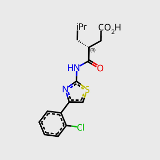 CC(C)C[C@H](CC(=O)O)C(=O)Nc1nc(-c2ccccc2Cl)cs1